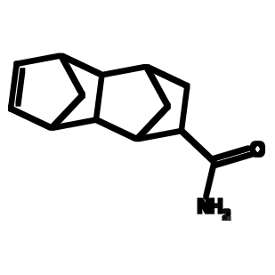 NC(=O)C1CC2CC1C1C3C=CC(C3)C21